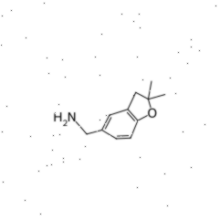 CC1(C)Cc2cc(CN)ccc2O1